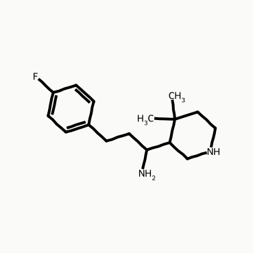 CC1(C)CCNCC1C(N)CCc1ccc(F)cc1